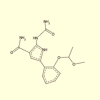 COC(C)Oc1ccccc1-c1cc(C(N)=O)c(NC(N)=O)[nH]1